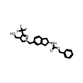 O=C(N[C@@H]1Cc2ccc(CN3CC(CO)C(C(F)(F)F)=N3)cc2C1)OCc1ccccc1